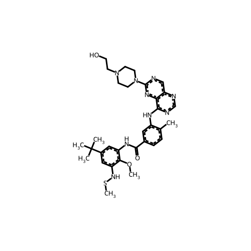 COc1c(NSC)cc(C(C)(C)C)cc1NC(=O)c1ccc(C)c(Nc2ncnc3cnc(N4CCN(CCO)CC4)nc23)c1